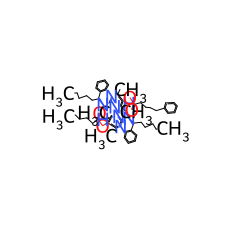 CCCCCC(=O)Oc1c(C)nc(NC(CCCCC)c2ccccc2)nc1C.CCCCCC(Nc1nc(C)c(OC(=O)CCCCc2ccccc2)c(C)n1)c1ccccc1